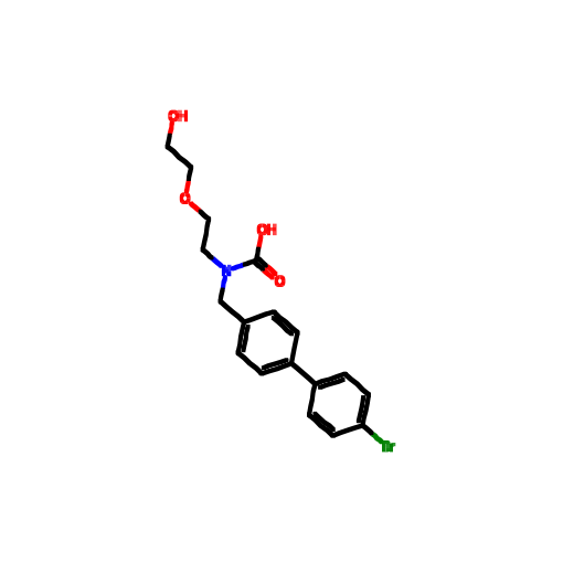 O=C(O)N(CCOCCO)Cc1ccc(-c2ccc(Br)cc2)cc1